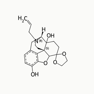 C=CCN1CC[C@]23c4c5ccc(O)c4OC2C2(CCC3(O)[C@H]1C5)OCCO2